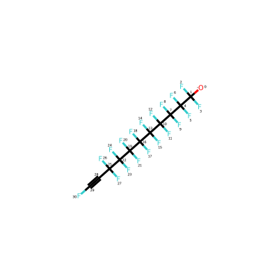 [O]C(F)(F)C(F)(F)C(F)(F)C(F)(F)C(F)(F)C(F)(F)C(F)(F)C(F)(F)C(F)(F)C#CF